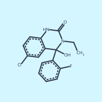 CCN1C(=O)Nc2ccc(Cl)cc2C1(O)c1ccccc1F